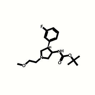 COCCN1CC(NC(=O)OC(C)(C)C)[C@H](c2cccc(F)c2)C1